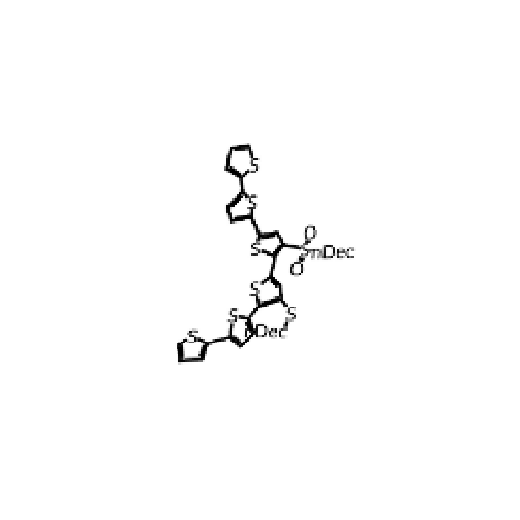 CCCCCCCCCCSc1cc(-c2sc(-c3ccc(-c4cccs4)s3)cc2S(=O)(=O)CCCCCCCCCC)sc1-c1ccc(-c2cccs2)s1